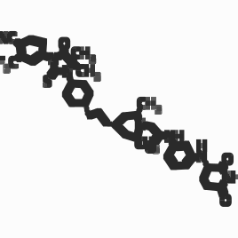 C[C@@H]1C[C@H](CCC[C@H]2CC[C@H](N3C(=S)N(c4ccc(C#N)c(C(F)(F)F)c4)C(=O)C3(C)C)CC2)C[C@H](C)N1CC(=O)Nc1cccc(N[C@H]2CCC(=O)NC2=O)c1